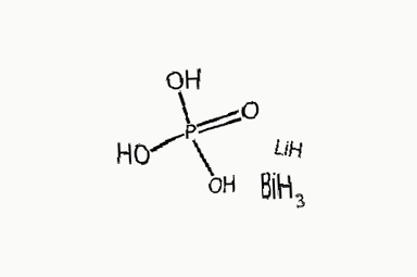 O=P(O)(O)O.[BiH3].[LiH]